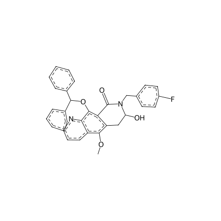 COc1c2c(c(OC(c3ccccc3)c3ccccc3)c3ncccc13)C(=O)N(Cc1ccc(F)cc1)C(O)C2